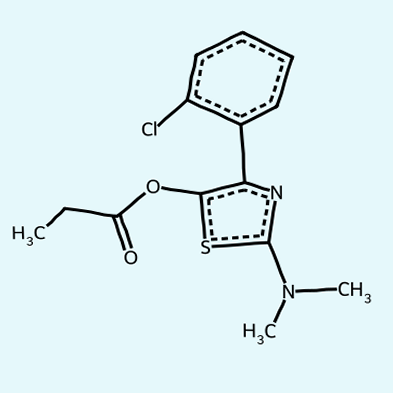 CCC(=O)Oc1sc(N(C)C)nc1-c1ccccc1Cl